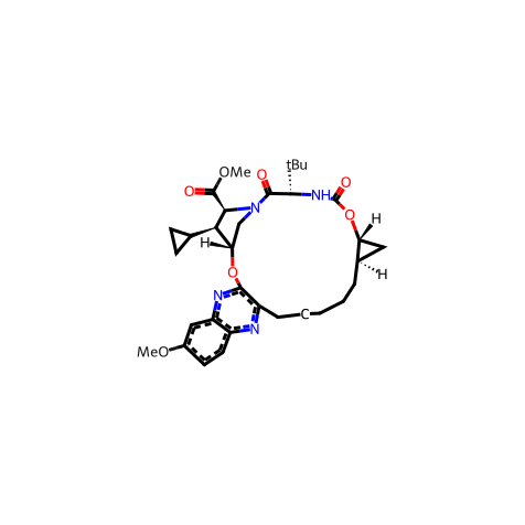 COC(=O)[C@@H]1[C@H](C2CC2)[C@@H]2CN1C(=O)[C@H](C(C)(C)C)NC(=O)O[C@@H]1C[C@H]1CCCCCc1nc3ccc(OC)cc3nc1O2